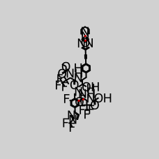 COC(=O)NC(C(=O)NC(Cc1ccc(C#Cc2cnc(N3CC4CC(C3)N4C3COC3)nc2)cc1)C(O)CN(Cc1c(F)cc(-c2ccn(C(F)F)n2)cc1F)NC(=O)C(NC(=O)O)C(C)(C)C(F)(F)F)C(C)(C)C(F)(F)F